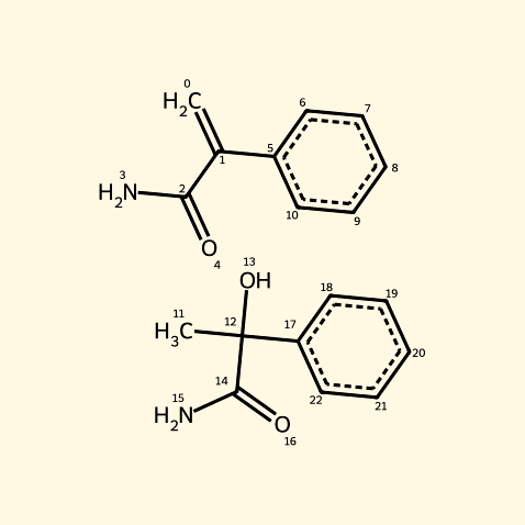 C=C(C(N)=O)c1ccccc1.CC(O)(C(N)=O)c1ccccc1